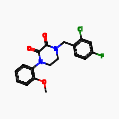 COc1ccccc1N1CCN(Cc2ccc(F)cc2Cl)C(=O)C1=O